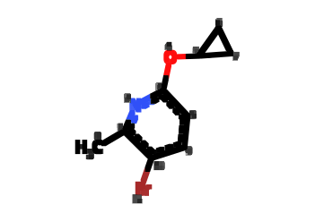 Cc1nc(OC2CC2)ccc1Br